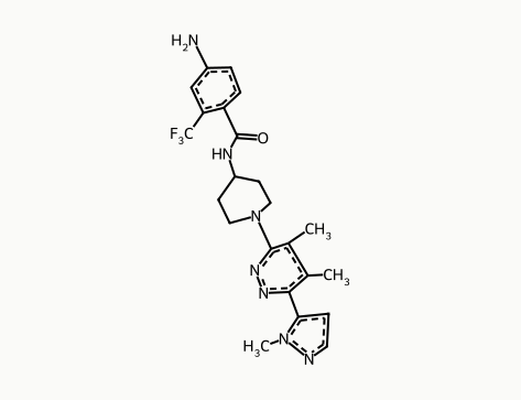 Cc1c(-c2ccnn2C)nnc(N2CCC(NC(=O)c3ccc(N)cc3C(F)(F)F)CC2)c1C